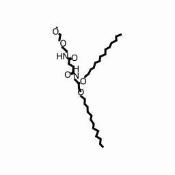 CCCCCCCCCCCCCCOCC(CNC(=O)CCC(=O)NCCOCCOC)OCCCCCCCCCCCCCC